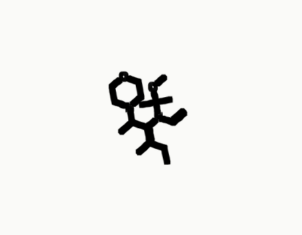 C=CN(/C(=C(/C)CC)C(C)N1CCOCC1)C(C)(C)OC